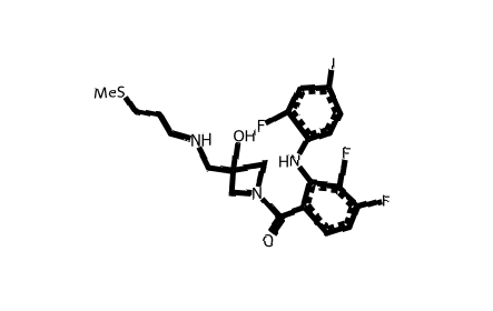 CSCCCNCC1(O)CN(C(=O)c2ccc(F)c(F)c2Nc2ccc(I)cc2F)C1